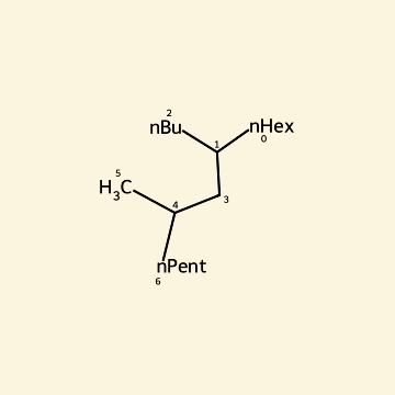 CCCCCCC(CCCC)CC(C)CCCCC